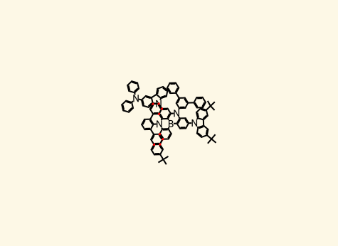 CC(C)(C)c1cccc(-c2ccc3c(c2)N(c2c(-c4ccccc4)cccc2-c2ccccc2)c2cc(-n4c5ccccc5c5cc(N(c6ccccc6)c6ccccc6)ccc54)cc4c2B3c2ccc(-n3c5ccc(C(C)(C)C)cc5c5cc(C(C)(C)C)ccc53)cc2N4c2cc(-c3ccccc3)cc(-c3ccccc3)c2)c1